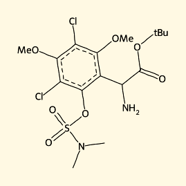 COc1c(Cl)c(OC)c(C(N)C(=O)OC(C)(C)C)c(OS(=O)(=O)N(C)C)c1Cl